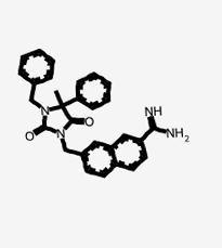 CC1(c2ccccc2)C(=O)N(Cc2ccc3ccc(C(=N)N)cc3c2)C(=O)N1Cc1ccccc1